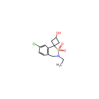 CCN1Cc2ccc(Cl)cc2C2(CC(O)C2)S1(=O)=O